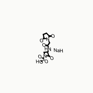 O=C(CN1C(=O)CCC1=O)NC1CN(S(=O)(=O)O)C1=O.[NaH]